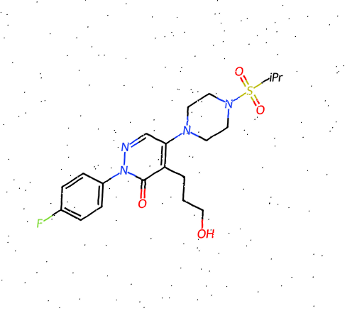 CC(C)S(=O)(=O)N1CCN(c2cnn(-c3ccc(F)cc3)c(=O)c2CCCO)CC1